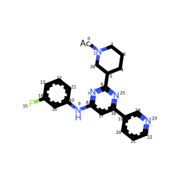 CC(=O)N1CCCC(c2nc(Nc3cccc(F)c3)cc(-c3cccnc3)n2)C1